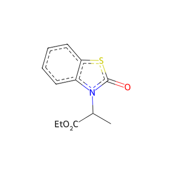 CCOC(=O)C(C)n1c(=O)sc2ccccc21